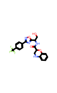 O=C(NC(CO)c1nc(-c2ccc(C(F)(F)F)cc2)no1)C1CNc2ccccc2O1